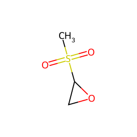 CS(=O)(=O)C1CO1